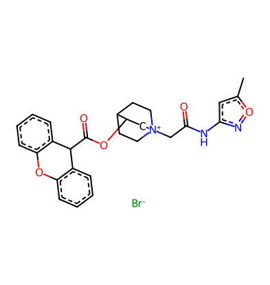 Cc1cc(NC(=O)C[N+]23CCC(CC2)C(OC(=O)C2c4ccccc4Oc4ccccc42)C3)no1.[Br-]